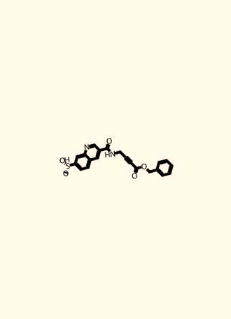 O=C(C#CCNC(=O)c1cnc2cc([SH](=O)=O)ccc2c1)OCc1ccccc1